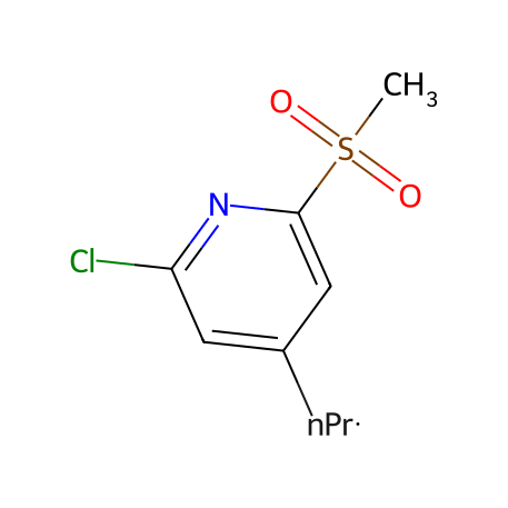 CC[CH]c1cc(Cl)nc(S(C)(=O)=O)c1